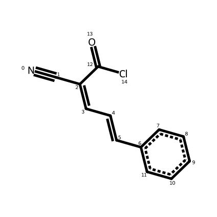 N#CC(=CC=Cc1ccccc1)C(=O)Cl